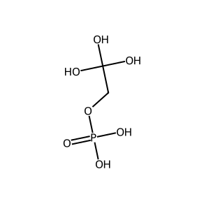 O=P(O)(O)OCC(O)(O)O